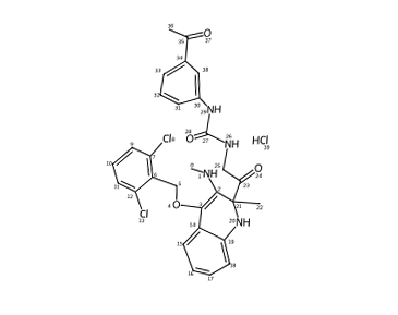 CNC1=C(OCc2c(Cl)cccc2Cl)c2ccccc2NC1(C)C(=O)CNC(=O)Nc1cccc(C(C)=O)c1.Cl